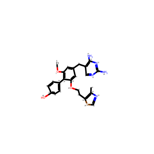 CCOc1cc(Cc2cnc(N)nc2N)cc(OCCc2scnc2C)c1-c1ccc(O)cc1